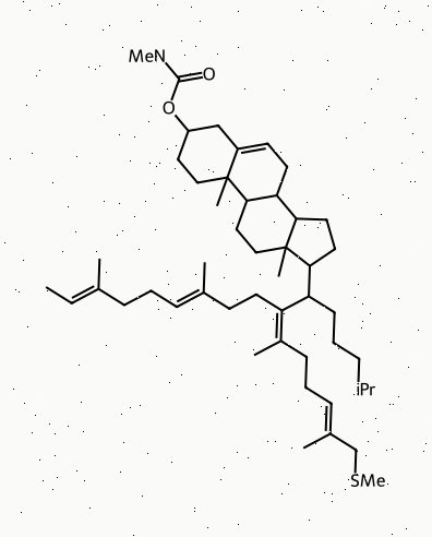 C/C=C(\C)CC/C=C(\C)CC/C(=C(\C)CC/C=C(\C)CSC)C(CCCC(C)C)C1CCC2C3CC=C4CC(OC(=O)NC)CCC4(C)C3CCC12C